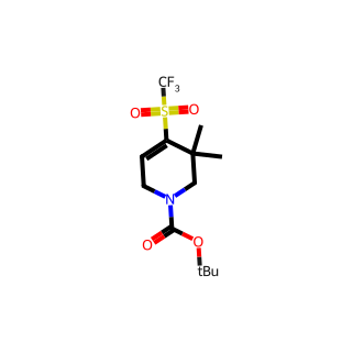 CC(C)(C)OC(=O)N1CC=C(S(=O)(=O)C(F)(F)F)C(C)(C)C1